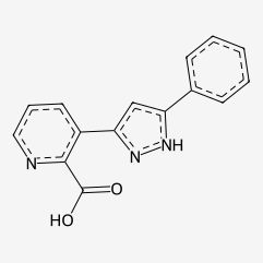 O=C(O)c1ncccc1-c1cc(-c2ccccc2)[nH]n1